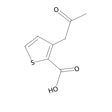 CC(=O)Cc1ccsc1C(=O)O